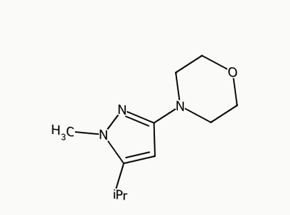 CC(C)c1cc(N2CCOCC2)nn1C